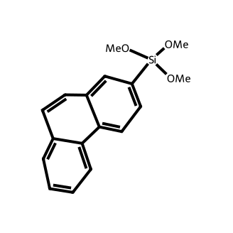 CO[Si](OC)(OC)c1ccc2c(ccc3ccccc32)c1